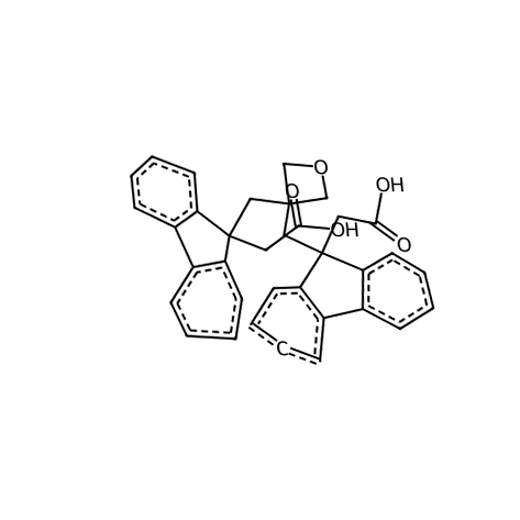 O=C(O)CC1(CC2(CC3(CC(=O)O)c4ccccc4-c4ccccc43)COC2)c2ccccc2-c2ccccc21